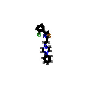 Clc1ccccc1-c1csc(CCN2CCN(c3ccccc3)CC2)n1